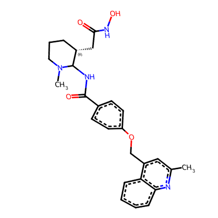 Cc1cc(COc2ccc(C(=O)NC3[C@@H](CC(=O)NO)CCCN3C)cc2)c2ccccc2n1